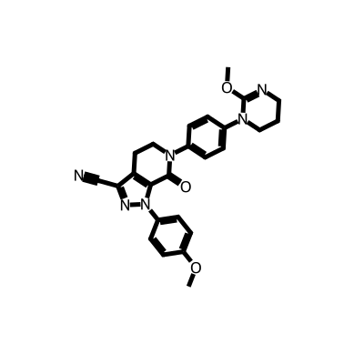 COC1=NCCCN1c1ccc(N2CCc3c(C#N)nn(-c4ccc(OC)cc4)c3C2=O)cc1